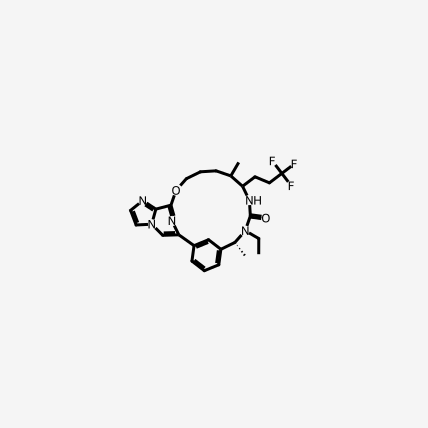 CCN1C(=O)NC(CCC(F)(F)F)C(C)CCCOc2nc(cn3ccnc23)-c2cccc(c2)[C@H]1C